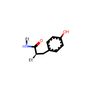 CCNC(=O)[C@H](CC)Cc1ccc(O)cc1